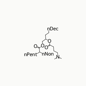 CCCCCCCCCCCCC(COC(=O)C(CCCCC)CCCCCCCCC)OC(=O)CCCN(C)C